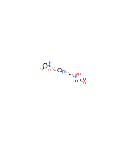 COC(=O)/C=C/C(=O)N(O)CCCCNCc1ccc(COC(=O)Nc2cccc(Cl)c2)cc1